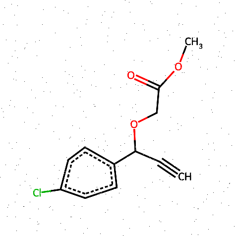 C#CC(OCC(=O)OC)c1ccc(Cl)cc1